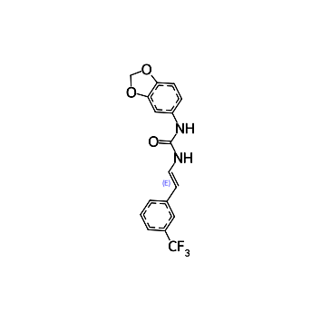 O=C(N/C=C/c1cccc(C(F)(F)F)c1)Nc1ccc2c(c1)OCO2